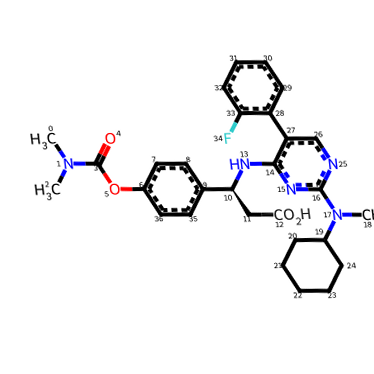 CN(C)C(=O)Oc1ccc([C@H](CC(=O)O)Nc2nc(N(C)C3CCCCC3)ncc2-c2ccccc2F)cc1